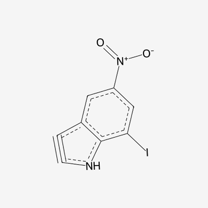 O=[N+]([O-])c1cc(I)c2[nH]c#cc2c1